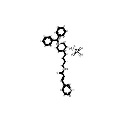 CS(=O)(=O)O.O=C(C=Cc1cccnc1)NCCCCC1CCN(C(c2ccccc2)c2ccccc2)CC1